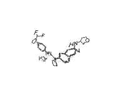 O=C(N[C@H](CO)c1ccc(OC(F)F)cc1)c1ccc2cnc(NC3CCOC3)cc2c1